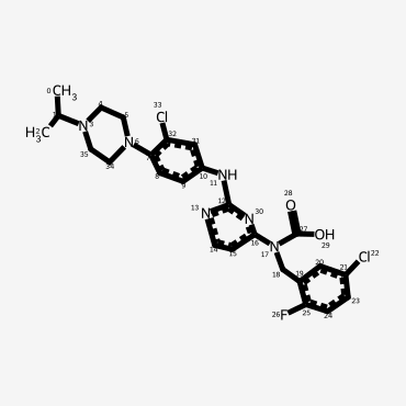 CC(C)N1CCN(c2ccc(Nc3nccc(N(Cc4cc(Cl)ccc4F)C(=O)O)n3)cc2Cl)CC1